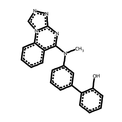 CN(c1cccc(-c2ccccc2O)c1)c1nc2nncn2c2ccccc12